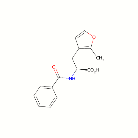 Cc1occc1C[C@H](NC(=O)c1ccccc1)C(=O)O